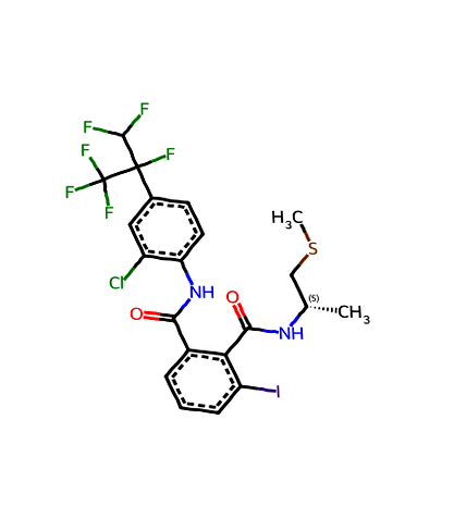 CSC[C@H](C)NC(=O)c1c(I)cccc1C(=O)Nc1ccc(C(F)(C(F)F)C(F)(F)F)cc1Cl